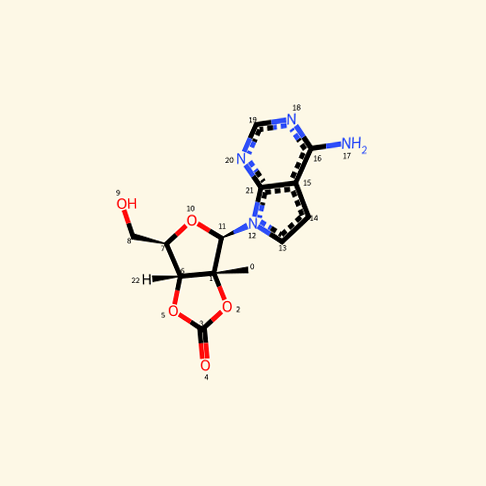 C[C@@]12OC(=O)O[C@@H]1[C@@H](CO)O[C@H]2n1ccc2c(N)ncnc21